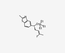 CC[Si](CC)(CC)O[C@@H](C/C=C(/C)I)c1ccc2sc(C)nc2c1